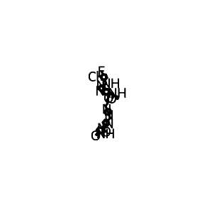 C=CC(=O)Nc1cc2c(Nc3ccc(F)c(Cl)c3)ncnc2cc1OCCCN1CCN(Cc2ccc(N3CCC(=O)NC3=O)cn2)CC1